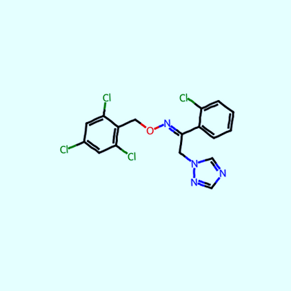 Clc1cc(Cl)c(CON=C(Cn2cncn2)c2ccccc2Cl)c(Cl)c1